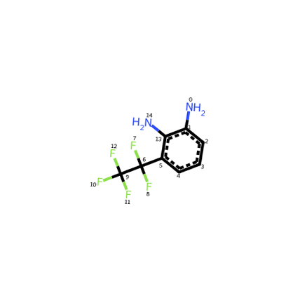 Nc1cccc(C(F)(F)C(F)(F)F)c1N